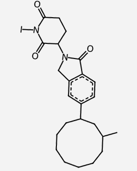 CC1CCCCCCCC(c2ccc3c(c2)CN(C2CCC(=O)N(I)C2=O)C3=O)C1